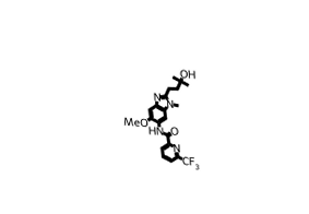 COc1cc2nc(CCC(C)(C)O)n(C)c2cc1NC(=O)c1cccc(C(F)(F)F)n1